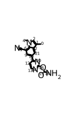 Cc1cn(C)c2c(C#N)cc(-c3ccnc(OC(N)=O)n3)cc12